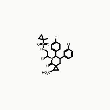 CCC(CNS(=O)(=O)C1(C)CC1)N1C(=O)C2(CC(c3cccc(Cl)c3)C1c1ccc(Cl)cc1)CC2C(=O)O